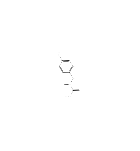 CNC(=O)N(O)Cc1ccc(Br)cc1